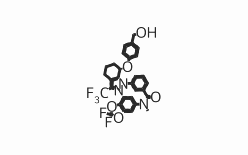 CN(C(=O)c1cccc(-n2nc(C(F)(F)F)c3c2[C@H](Oc2ccc(CO)cc2)CCC3)c1)c1ccc2c(c1)OC(F)(F)O2